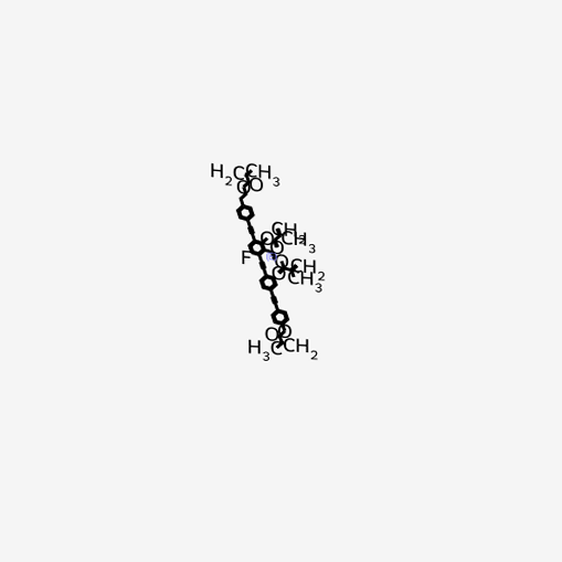 C=C(C)C(=O)O/C=C/c1c(C#Cc2ccc(C#Cc3ccc(OC(=O)C(=C)C)cc3)cc2)c(F)cc(C#Cc2ccc(CCOC(=O)C(=C)C)cc2)c1OC(=O)C(=C)C